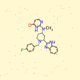 CN(c1nccc(=O)[nH]1)C1CCN(Cc2ccc(F)cc2)C(c2nc3ccccc3[nH]2)C1